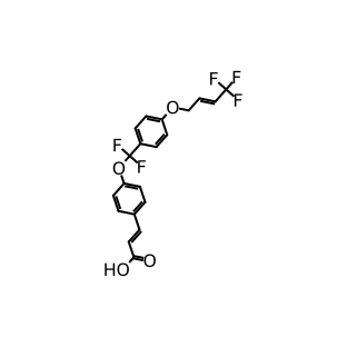 O=C(O)C=Cc1ccc(OC(F)(F)c2ccc(OCC=CC(F)(F)F)cc2)cc1